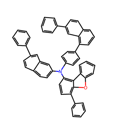 c1ccc(-c2ccc3ccc(N(c4ccc(-c5cccc6ccc(-c7ccccc7)cc56)cc4)c4ccc(-c5ccccc5)c5oc6ccccc6c45)cc3c2)cc1